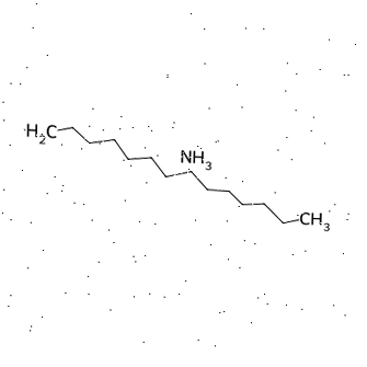 N.[CH2]CCCCCCCCCCCCC